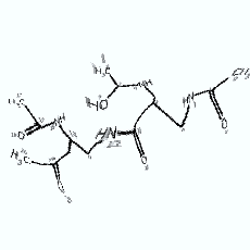 CC(=O)NCC(NC(C)O)C(=O)NCC(NC(C)=O)C(C)=O